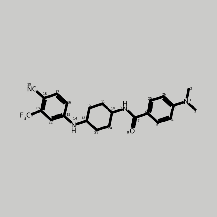 CN(C)c1ccc(C(=O)NC2CCC(Nc3ccc(C#N)c(C(F)(F)F)c3)CC2)cc1